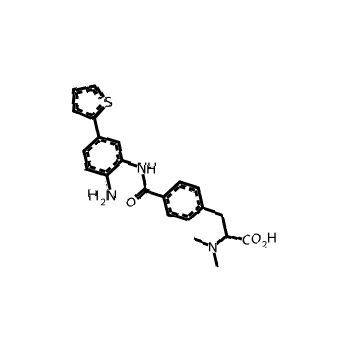 CN(C)C(Cc1ccc(C(=O)Nc2cc(-c3cccs3)ccc2N)cc1)C(=O)O